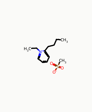 CCCCc1cccc[n+]1CC.CS(=O)(=O)[O-]